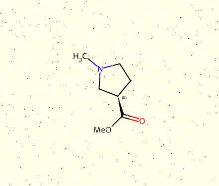 COC(=O)[C@@H]1CCN(C)C1